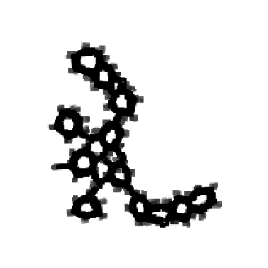 Cc1cc2c3c(c1)N(c1ccccc1)c1cc(-c4ccc5oc6cc7ccccc7cc6c5c4)cc4c1B3c1c(cc(-c3ccc5oc6cc7ccccc7cc6c5c3)cc1N2c1ccccc1)O4